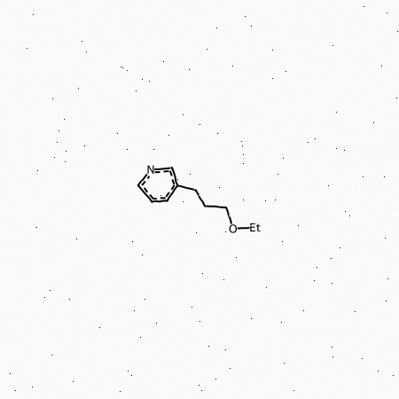 [CH2]COCCCc1cccnc1